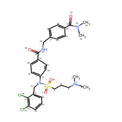 CN(C)CCCS(=O)(=O)N(Cc1cccc(Cl)c1Cl)c1ccc(C(=O)NCc2ccc(C(=O)N(C)C)cc2)cc1